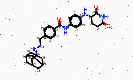 O=C1CCC(Nc2ccc(NC(=O)c3ccc(CCNC45CC6CC(CC(C6)C4)C5)cc3)cc2)C(=O)N1